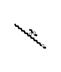 C=COC(=O)CC.C=COCCCCCCCCCCCCCCCCCC